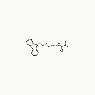 C=C(C)C(=O)OCCCCCCn1c2ccccc2c2ccccc21